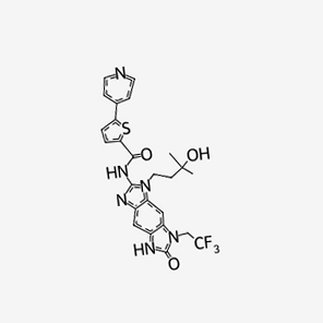 CC(C)(O)CCn1c(NC(=O)c2ccc(-c3ccncc3)s2)nc2cc3[nH]c(=O)n(CC(F)(F)F)c3cc21